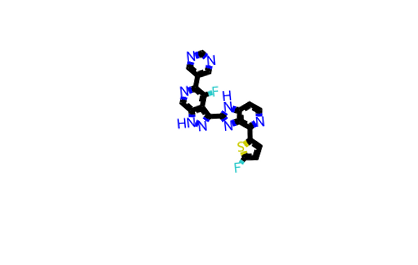 Fc1ccc(-c2nccc3[nH]c(-c4n[nH]c5cnc(-c6cncnc6)c(F)c45)nc23)s1